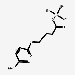 COC(=O)/C=C\C(=O)OCCCC(=O)O[Si](C(C)C)(C(C)C)C(C)C